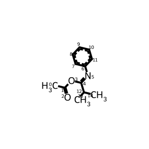 CC(=O)OC(=Nc1ccccc1)C(C)C